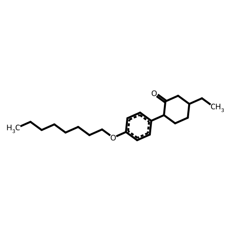 CCCCCCCCOc1ccc(C2CCC(CC)CC2=O)cc1